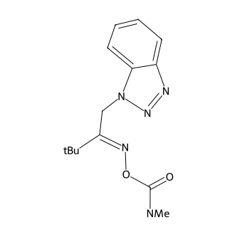 CNC(=O)ON=C(Cn1nnc2ccccc21)C(C)(C)C